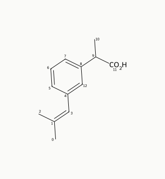 CC(C)=Cc1cccc(C(C)C(=O)O)c1